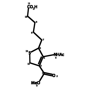 COC(=O)C1=C(NC(C)=O)C(CCCCC(=O)O)SC1